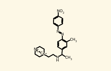 Cc1cc(C(C)NCC[N+]23CCN(CC2)CC3)ccc1N=Nc1ccc([N+](=O)[O-])cc1